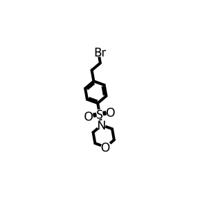 O=S(=O)(c1ccc(CCBr)cc1)N1CCOCC1